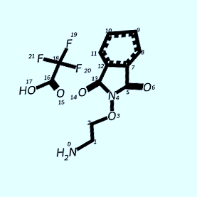 NCCON1C(=O)c2ccccc2C1=O.O=C(O)C(F)(F)F